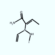 C=CN(NI)/C(=C\C)C(N)=O